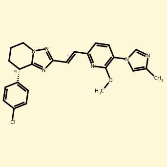 COc1nc(/C=C/c2nc3n(n2)CCC[C@H]3c2ccc(Cl)cc2)ccc1-n1cnc(C)c1